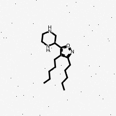 CCCCCc1noc(C2CNCCN2)c1CCCCC